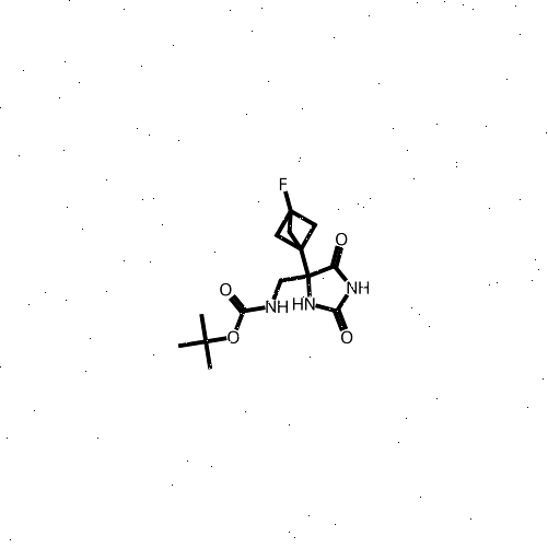 CC(C)(C)OC(=O)NCC1(C23CC(F)(C2)C3)NC(=O)NC1=O